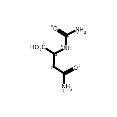 NC(=O)CC(NC(N)=O)C(=O)O